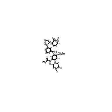 C=CC(=O)Nc1cc(Nc2cc(N3OCC[C@@H]3c3cccc(F)c3F)ncn2)c(OC)cc1N1CCN(C)[C@@H](C)C1